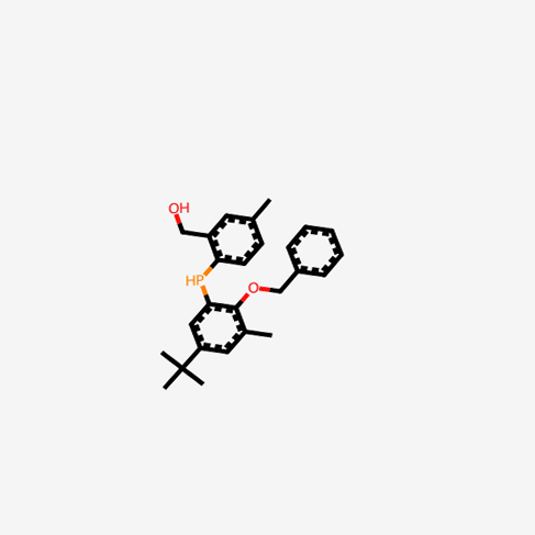 Cc1ccc(Pc2cc(C(C)(C)C)cc(C)c2OCc2ccccc2)c(CO)c1